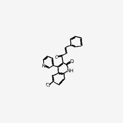 O=C(C=Cc1ccccc1)c1c(-c2cccnc2)c2cc(Cl)ccc2[nH]c1=O